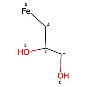 OCC(O)[CH2][Fe]